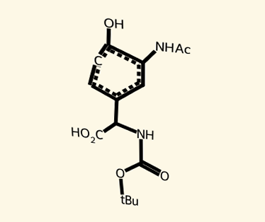 CC(=O)Nc1cc(C(NC(=O)OC(C)(C)C)C(=O)O)ccc1O